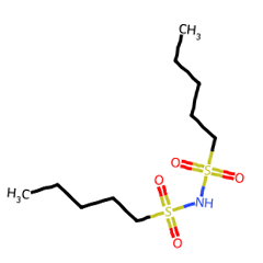 CCCCCS(=O)(=O)NS(=O)(=O)CCCCC